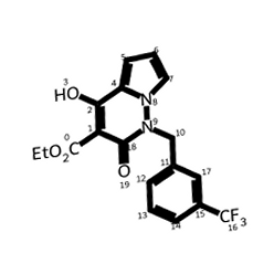 CCOC(=O)c1c(O)c2cccn2n(Cc2cccc(C(F)(F)F)c2)c1=O